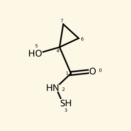 O=C(NS)C1(O)CC1